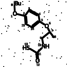 CCC(C)Oc1ccc(OC(C)CNC(=O)S)cc1